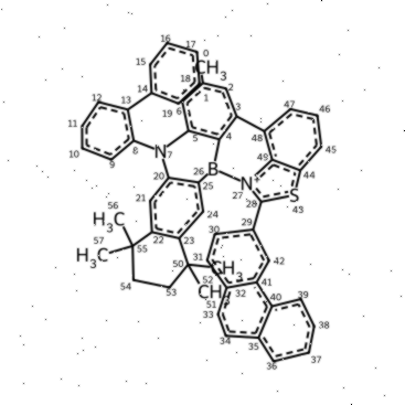 Cc1cc2c3c(c1)N(c1ccccc1-c1ccccc1)c1cc4c(cc1B3[n+]1c(-c3ccc5ccc6ccccc6c5c3)sc3cccc-2c31)C(C)(C)CCC4(C)C